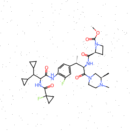 COC(=O)N1CC[C@H]1C(=O)N[C@@H](C(=O)N1CCN(C)[C@H](C)C1)[C@@H](C)c1ccc(NC(=O)[C@@H](NC(=O)C2(F)CC2)C(C2CC2)C2CC2)c(F)c1